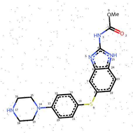 COC(=O)Nc1nc2cc(Sc3ccc(N4CCNCC4)cc3)ccc2[nH]1